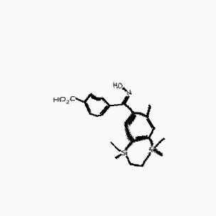 Cc1cc2c(cc1C(=NO)c1ccc(C(=O)O)cc1)[Si](C)(C)CC[Si]2(C)C